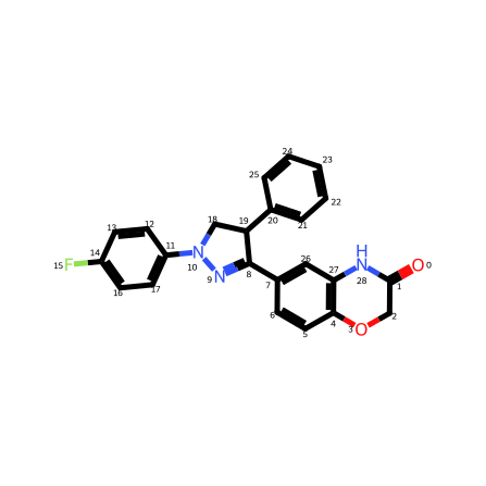 O=C1COc2ccc(C3=NN(c4ccc(F)cc4)CC3c3ccccc3)cc2N1